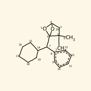 CC1(C)CC2OC1(C(c1ccccc1)C1CCCCC1)O2